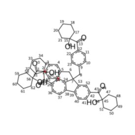 O=C(c1ccc(CC2(Cc3ccc(C(=O)C4(O)CCCCC4)cc3)c3cc(C(=O)C4(O)CCCCC4)ccc3-c3ccc(C(=O)C4(O)CCCCC4)cc32)cc1)C1(O)CCCCC1